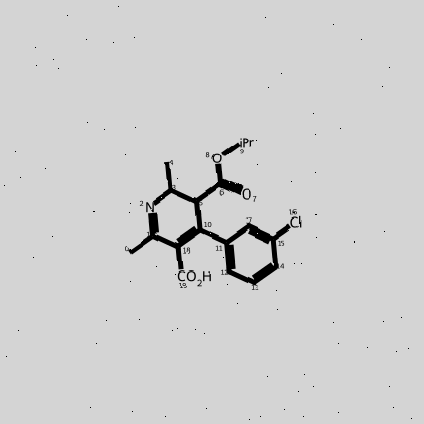 CC1=NC(C)C(C(=O)OC(C)C)C(c2cccc(Cl)c2)=C1C(=O)O